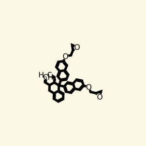 C=CC1Cc2ccccc2C(c2ccc3cc(OCC4CO4)ccc3c2)(c2ccc3cc(OCC4CO4)ccc3c2)C1C=C